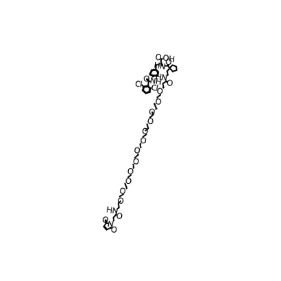 O=C(CCOCCOCCOCCOCCOCCOCCOCCOCCOCCOCCOCCOCCNC(=O)CCN1C(=O)C=CC1=O)NCCC1(C(=O)N[C@@H](Cc2ccc(NC(=O)c3c(Cl)cccc3Cl)cc2)C(=O)O)CCCC1